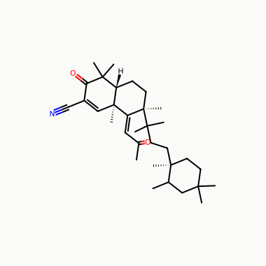 CC(=O)/C=C1/[C@@]2(C)C=C(C#N)C(=O)C(C)(C)[C@@H]2CC[C@@]1(C)C(C)(C)CC[C@@]1(C)CCC(C)(C)CC1C